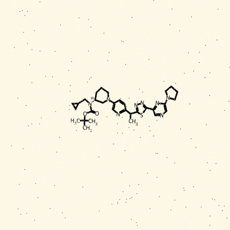 CC(c1ccc(N2CCC[C@@H](N(CC3CC3)C(=O)OC(C)(C)C)C2)cn1)c1nnc(-c2cncc(N3CCCC3)n2)s1